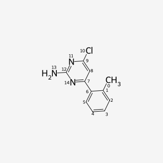 Cc1ccccc1-c1cc(Cl)nc(N)n1